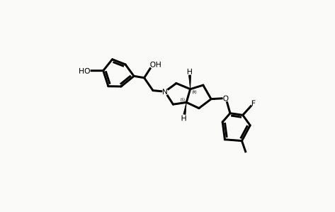 Cc1ccc(OC2C[C@@H]3CN(CC(O)c4ccc(O)cc4)C[C@@H]3C2)c(F)c1